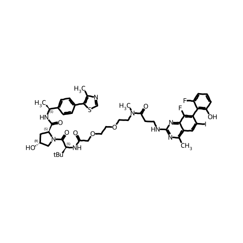 Cc1ncsc1-c1ccc([C@H](C)NC(=O)[C@@H]2C[C@@H](O)CN2C(=O)[C@@H](NC(=O)COCCOCCN(C)C(=O)CCNc2nc(C)c3cc(I)c(-c4c(O)cccc4F)c(F)c3n2)C(C)(C)C)cc1